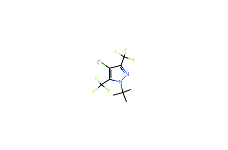 CC(C)(C)n1nc(C(F)(F)F)c(Cl)c1C(F)(F)F